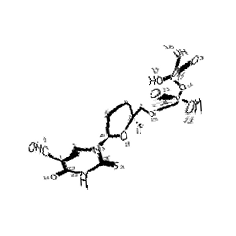 O=Cc1cn([C@H]2CC[C@@](F)(COP(=O)(O)OP(=O)(O)O)O2)c(=S)[nH]c1=O